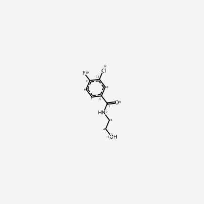 O=C(NCCO)c1ccc(F)c(Cl)c1